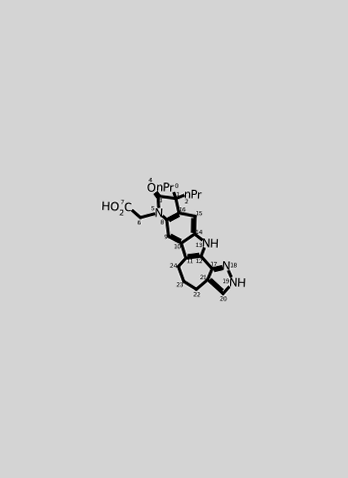 CCCC1(CCC)C(=O)N(CC(=O)O)c2cc3c4c([nH]c3cc21)-c1n[nH]cc1CCC4